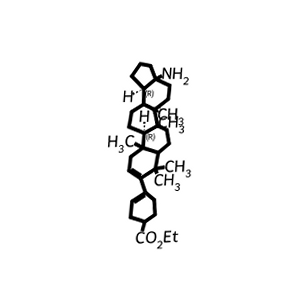 CCOC(=O)C1CC=C(C2=CCC3(C)C(CCC4(C)[C@@H]3CCC3[C@H]5CCCC5(N)CC[C@]34C)C2(C)C)CC1